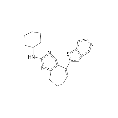 C1=C(c2cc3cnccc3s2)c2cnc(NC3CCCCC3)nc2CCC1